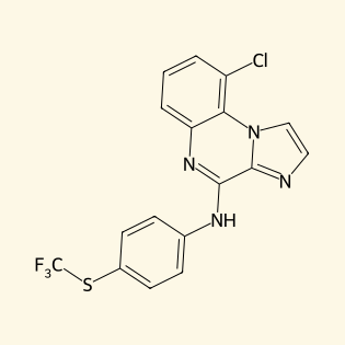 FC(F)(F)Sc1ccc(Nc2nc3cccc(Cl)c3n3ccnc23)cc1